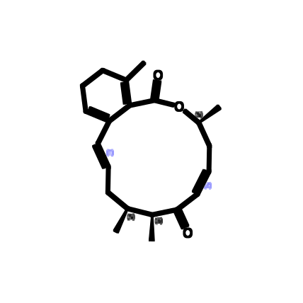 CC1=C2C(=O)O[C@@H](C)C/C=C\C(=O)[C@@H](C)[C@@H](C)C/C=C/C2=CCC1